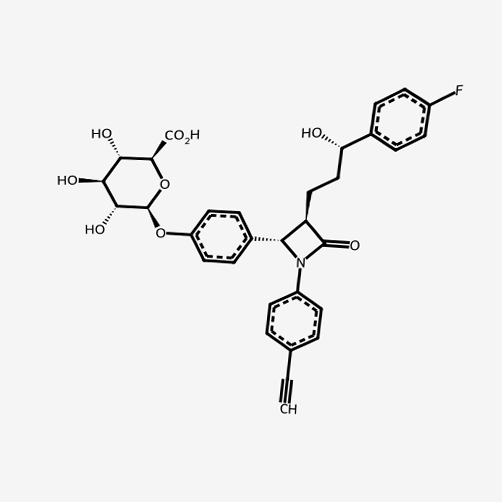 C#Cc1ccc(N2C(=O)[C@H](CC[C@H](O)c3ccc(F)cc3)[C@H]2c2ccc(O[C@@H]3O[C@H](C(=O)O)[C@@H](O)[C@H](O)[C@H]3O)cc2)cc1